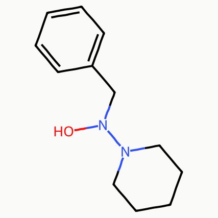 ON(Cc1ccccc1)N1CCCCC1